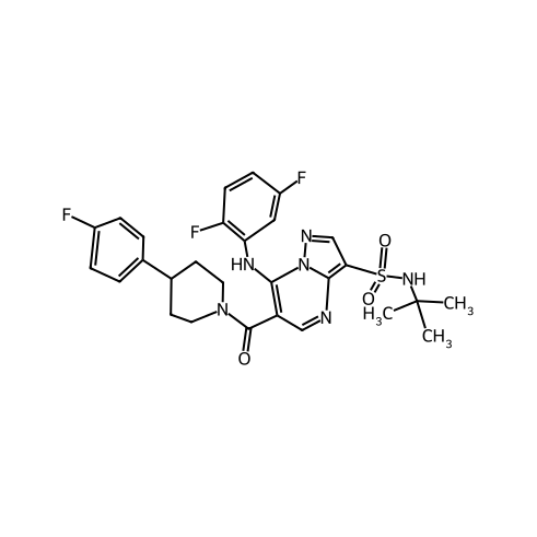 CC(C)(C)NS(=O)(=O)c1cnn2c(Nc3cc(F)ccc3F)c(C(=O)N3CCC(c4ccc(F)cc4)CC3)cnc12